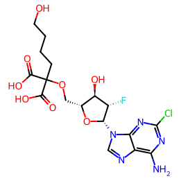 Nc1nc(Cl)nc2c1ncn2[C@@H]1O[C@H](COC(CCCCO)(C(=O)O)C(=O)O)[C@@H](O)[C@@H]1F